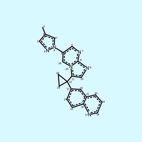 Cc1cnn(-c2cnc3ncc(C4(c5ccc6ncccc6c5)CC4)n3c2)c1